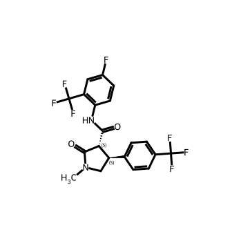 CN1C[C@H](c2ccc(C(F)(F)F)cc2)[C@@H](C(=O)Nc2ccc(F)cc2C(F)(F)F)C1=O